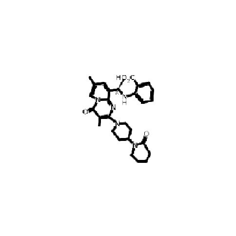 Cc1cc([C@@H](C)Nc2ccccc2C(=O)O)c2nc(N3CCC(N4CCCCC4=O)CC3)c(C)c(=O)n2c1